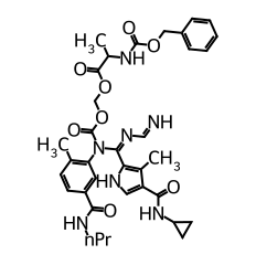 CCCNC(=O)c1ccc(C)c(N(C(=O)OCOC(=O)C(C)NC(=O)OCc2ccccc2)/C(=N/C=N)c2[nH]cc(C(=O)NC3CC3)c2C)c1